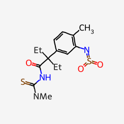 CCC(CC)(C(=O)NC(=S)NC)c1ccc(C)c(N=S(=O)=O)c1